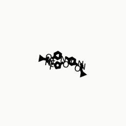 O=C(C1CCC(F)(F)C1)N(CC12CCC(c3nnc(C4CC4)o3)(CC1)CC2)c1cccc(-c2nnc(C3CC3)o2)c1